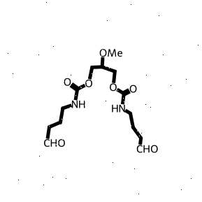 COC(COC(=O)NCCCC=O)COC(=O)NCCCC=O